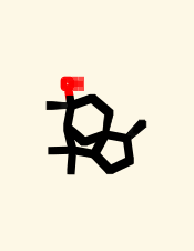 C[C@H]1CCC2C(C)(C)C3C[C@@]21CC[C@@]3(C)O